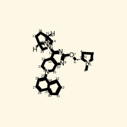 CN1CCC[C@H]1COc1nc2c(c(N3C[C@H]4CC[C@@H](C3)N4)n1)CCN(c1cccc3ccccc13)C2